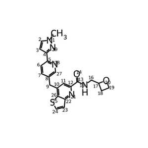 Cn1ccc(-c2ccc(Cc3cc(C(=O)NCC4CCO4)nc4ccsc34)cn2)n1